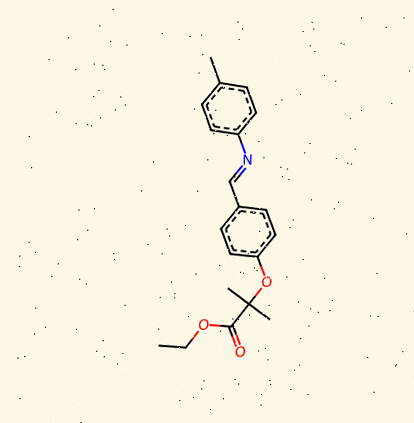 CCOC(=O)C(C)(C)Oc1ccc(/C=N/c2ccc(C)cc2)cc1